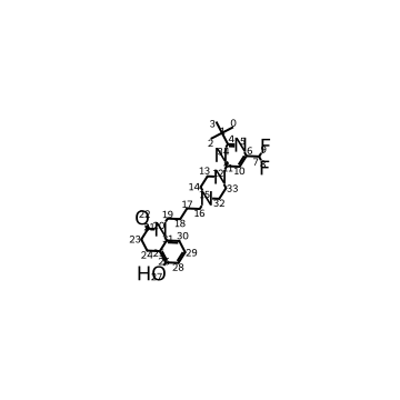 CC(C)(C)c1nc(C(F)F)cc(N2CCN(CCCCN3C(=O)CCc4c(O)cccc43)CC2)n1